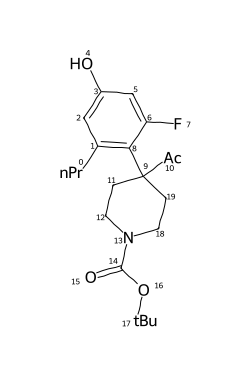 CCCc1cc(O)cc(F)c1C1(C(C)=O)CCN(C(=O)OC(C)(C)C)CC1